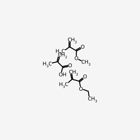 C=C(C)C(=O)O.C=C(C)C(=O)OC.C=C(C)C(=O)OCC